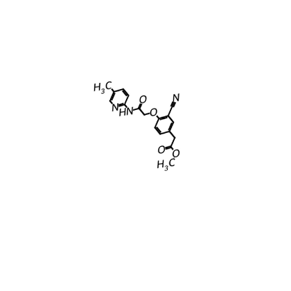 COC(=O)Cc1ccc(OCC(=O)Nc2ccc(C)cn2)c(C#N)c1